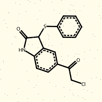 O=C(CCl)c1ccc2c(c1)C(Sc1ccccc1)C(=O)N2